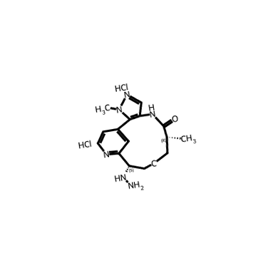 C[C@@H]1CCC[C@H](NN)c2cc(ccn2)-c2c(cnn2C)NC1=O.Cl.Cl